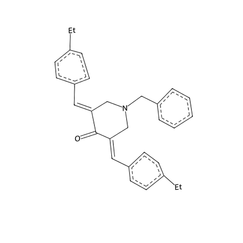 CCc1ccc(C=C2CN(Cc3ccccc3)CC(=Cc3ccc(CC)cc3)C2=O)cc1